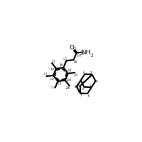 C1C2CC3CC1CC(C2)C3.Cc1c(C)c(C)c(CCC(N)=O)c(C)c1C